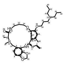 C=C/N=C1/Nc2c(ccc3c2OCO3)CN(C)[C@@H](C)C(=O)NCCCOc2cc1c(C)cc2OCCCN(CCC)CCC